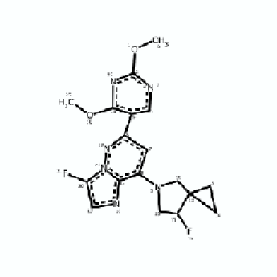 COc1ncc(-c2cc(N3CC(F)C4(CC4)C3)c3ncc(F)n3n2)c(OC)n1